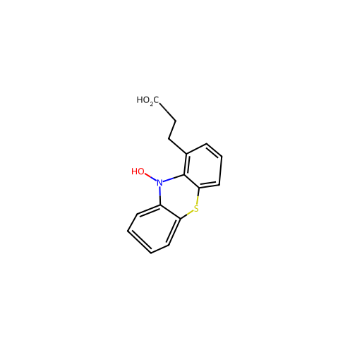 O=C(O)CCc1cccc2c1N(O)c1ccccc1S2